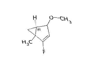 COC1C=C(F)C2(C)C[C@@H]12